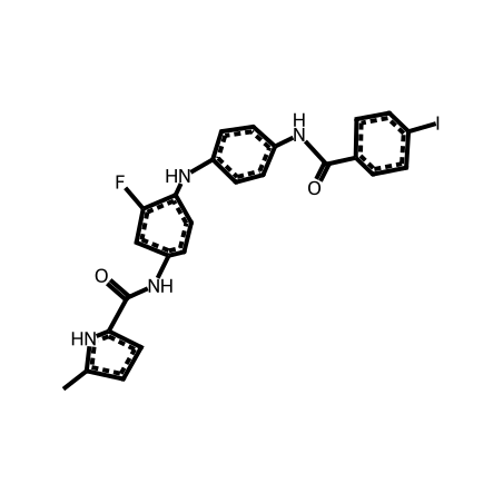 Cc1ccc(C(=O)Nc2ccc(Nc3ccc(NC(=O)c4ccc(I)cc4)cc3)c(F)c2)[nH]1